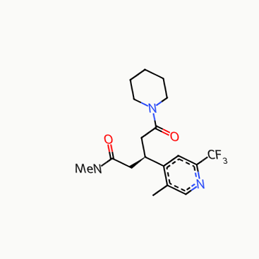 CNC(=O)C[C@@H](CC(=O)N1CCCCC1)c1cc(C(F)(F)F)ncc1C